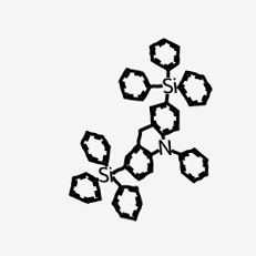 c1ccc(N2c3ccc([Si](c4ccccc4)(c4ccccc4)c4ccccc4)cc3Cc3cc([Si](c4ccccc4)(c4ccccc4)c4ccccc4)ccc32)cc1